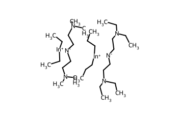 CCN(CC)CC[N-]CCN(CC)CC.CC[CH2][In+][CH2]CC.CN(C)CC[N-]CCN(C)C.C[CH2][In+][CH2]C